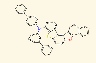 c1ccc(-c2ccc(N(c3cccc(-c4ccccc4)c3)c3cccc4c3sc3ccc5oc6c7ccccc7ccc6c5c34)cc2)cc1